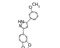 COc1cccc(-c2cc(-c3ccc4c(c3)OCO4)n[nH]2)c1